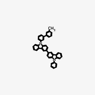 Cc1cccc(-c2cccc(-n3c4ccccc4c4cc(-c5ccc6c(c5)c5ccccc5n6-c5ccccc5)ccc43)c2)c1